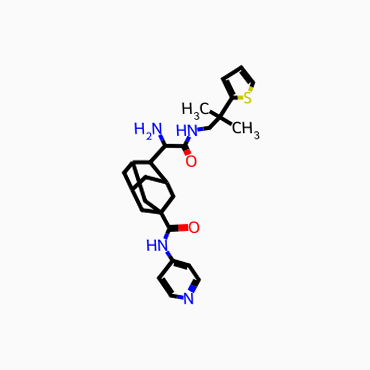 CC(C)(CNC(=O)C(N)C1C2CC3CC1CC(C(=O)Nc1ccncc1)(C3)C2)c1cccs1